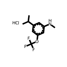 CNc1cc(OC(F)(F)F)cc(C(C)C)c1.Cl